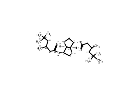 CC(CC(=O)O[C@H]1CO[C@H]2[C@@H]1OC[C@H]2OC(=O)CC(C)CC(C)(C)C)CC(C)(C)C